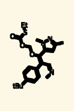 CCSC(=O)OCO/C(=C(/C=N\C)c1ccc(C(C)(C)C)cc1)c1cc(C)nn1C